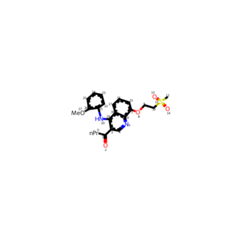 CCCC(=O)c1cnc2c(OCCS(C)(=O)=O)cccc2c1Nc1ccccc1OC